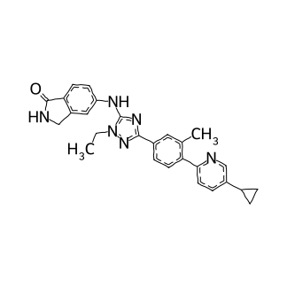 CCn1nc(-c2ccc(-c3ccc(C4CC4)cn3)c(C)c2)nc1Nc1ccc2c(c1)CNC2=O